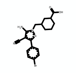 N#Cc1c(-c2ccc(Br)cc2)nn(CC2CCCC(C(=O)O)C2)c1N